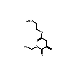 C=C(CC(=O)OCCOC)C(=O)OCC(C)=O